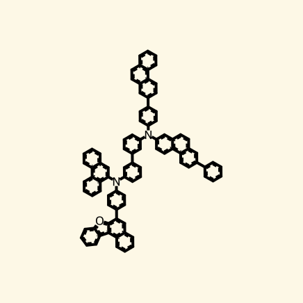 c1ccc(-c2ccc3c(ccc4cc(N(c5ccc(-c6ccc7c(ccc8ccccc87)c6)cc5)c5cccc(-c6cccc(N(c7ccc(-c8cc9ccccc9c9c8oc8ccccc89)cc7)c7cc8ccccc8c8ccccc78)c6)c5)ccc43)c2)cc1